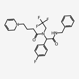 O=C(NCc1ccccc1)C(c1ccc(F)cc1)N(CC(F)(F)F)C(=O)CCCN1C=CC=CC1